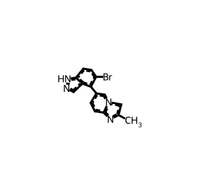 Cc1cn2cc(-c3c(Br)ccc4[nH]ncc34)ccc2n1